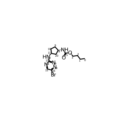 CCCCOC(=O)N[C@H]1CC[C@H](Nc2ncc(Br)nn2)C1